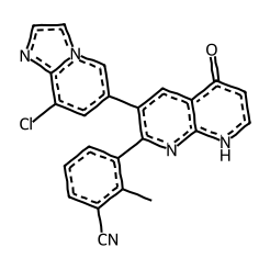 Cc1c(C#N)cccc1-c1nc2[nH]ccc(=O)c2cc1-c1cc(Cl)c2nccn2c1